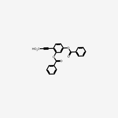 O=C(O)C#Cc1ccc(OC(=O)c2ccccc2)cc1OC(=O)c1ccccc1